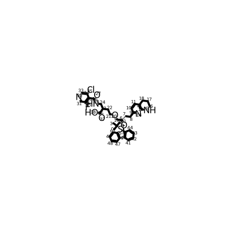 CC(C)(C)[Si](O[C@@H](CCc1ccc2c(n1)NCCC2)COCCC(CNC(=O)c1c(F)cncc1Cl)C(=O)O)(c1ccccc1)c1ccccc1